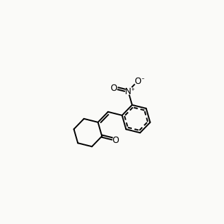 O=C1CCCCC1=Cc1ccccc1[N+](=O)[O-]